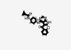 O=C(c1ccccc1Cl)c1c[nH]c2ncnc(N[C@H]3CC[C@@H](NC(=O)C4CC4)CC3)c12